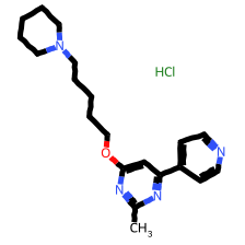 Cc1nc(OCCCCCN2CCCCC2)cc(-c2ccncc2)n1.Cl